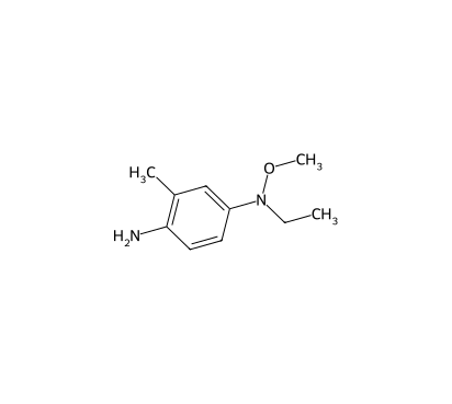 CCN(OC)c1ccc(N)c(C)c1